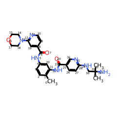 Cc1ccc(NC(=O)c2ccnc(N3CCOCC3)c2)cc1NC(=O)c1ccc(NCC(C)(C)N)nc1